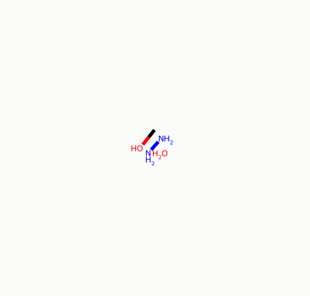 CO.NN.O